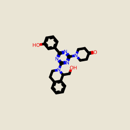 O=C1CCN(c2nc(-c3cccc(O)c3)nc(N3CCc4ccccc4C3CO)n2)CC1